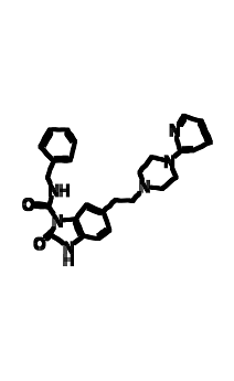 O=C(NCc1ccccc1)n1c(=O)[nH]c2ccc(CCN3CCN(c4ccccn4)CC3)cc21